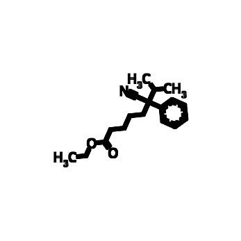 CCOC(=O)CCCCC(C#N)(c1ccccc1)C(C)C